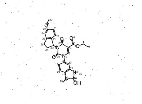 CCOC(=O)c1cn(-c2ccc3c(c2)N(C)C(O)N3C)c(=O)n(C2CCc3cc(OC)ccc32)c1=O